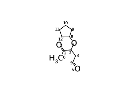 CC(=O)C(CC=O)OC1CCCC1